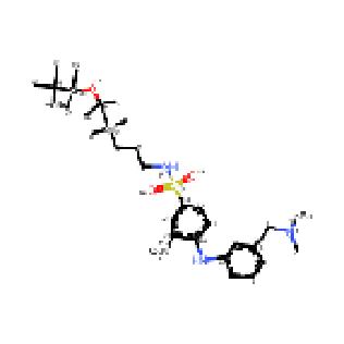 CCCCN(C)Cc1cccc(Nc2ccc(S(=O)(=O)NCCC[Si](C)(C)C(C)(C)O[Si](C)(C)C(C)(C)CCCC)cc2[N+](=O)[O-])c1